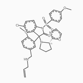 C=CCNCc1ccc(OC)c(C2(N3CCC[C@H]3c3ncco3)C(=O)N(S(=O)(=O)c3ccc(OC)cc3)c3ccc(Cl)cc32)c1